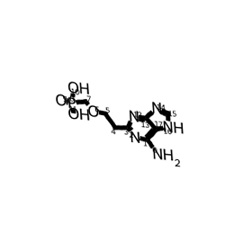 Nc1nc(CCOCP(=O)(O)O)nc2nc[nH]c12